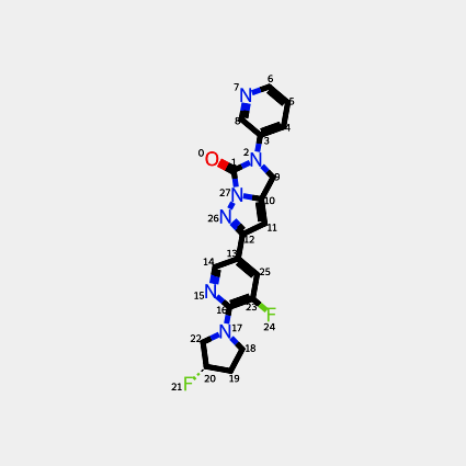 O=C1N(c2cccnc2)Cc2cc(-c3cnc(N4CC[C@H](F)C4)c(F)c3)nn21